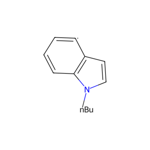 CCCCn1ccc2[c]cccc21